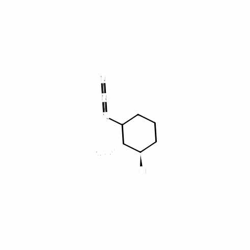 CC(=O)O[C@@H]1C(N=[N+]=[N-])CCC[C@H]1O